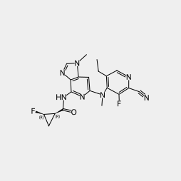 CCc1cnc(C#N)c(F)c1N(C)c1cc2c(ncn2C)c(NC(=O)[C@H]2C[C@H]2F)n1